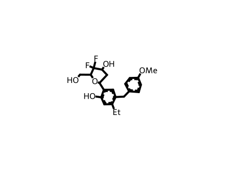 CCc1cc(O)c(C2CC(O)C(F)(F)C(CO)O2)cc1Cc1ccc(OC)cc1